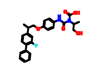 CC(COc1ccc(NC(=O)N(C(=O)O)C(C)CO)cc1)c1ccc(-c2ccccc2)c(F)c1